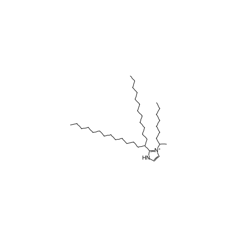 CCCCCCCCCCCCCC(CCCCCCCCCCCC)c1[nH]cc[n+]1C(C)CCCCCCC